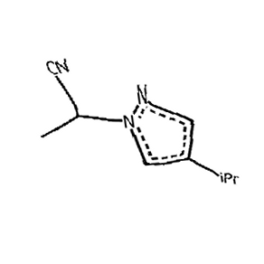 CC(C)c1cnn(C(C)C#N)c1